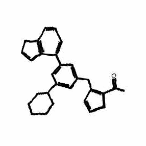 CC(=O)C1=C(Cc2cc(-c3cccc4c3C=CC4)cc(C3CCCCC3)c2)C=CC1